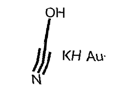 N#CO.[Au].[KH]